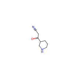 N#CCC(=O)C1CCCNC1